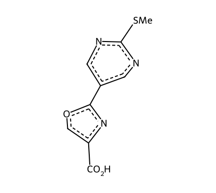 CSc1ncc(-c2nc(C(=O)O)co2)cn1